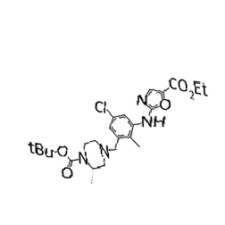 CCOC(=O)c1cnc(Nc2cc(Cl)cc(CN3CCN(C(=O)OC(C)(C)C)[C@@H](C)C3)c2C)o1